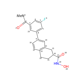 CNC(=O)c1cc(F)cc(-c2ccc3c(c2)CC(C(=O)NO)CC3)c1